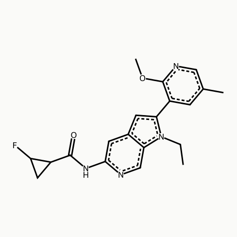 CCn1c(-c2cc(C)cnc2OC)cc2cc(NC(=O)C3CC3F)ncc21